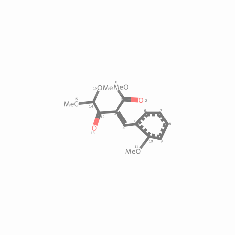 COC(=O)/C(=C\c1ccccc1OC)C(=O)C(OC)OC